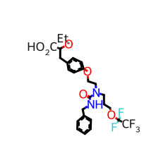 CCOC(Cc1ccc(OCCN(CCCOC(F)(F)C(F)(F)F)C(=O)NCc2ccccc2)cc1)C(=O)O